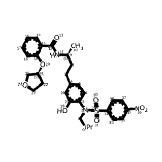 CC(C)CN(c1ccc(CC[C@H](C)NC(=O)c2ccccc2O[C@H]2CCOC2)cc1O)S(=O)(=O)c1ccc([N+](=O)[O-])cc1